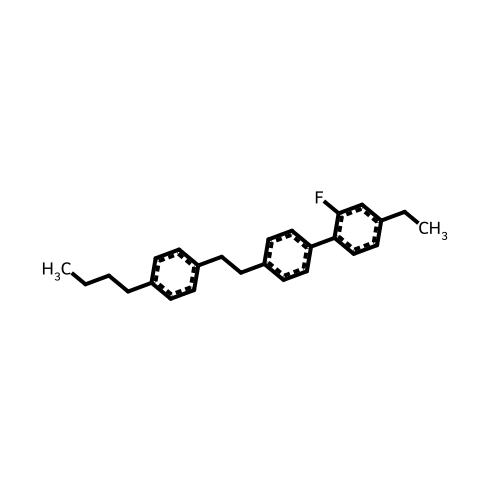 CCCCc1ccc(CCc2ccc(-c3ccc(CC)cc3F)cc2)cc1